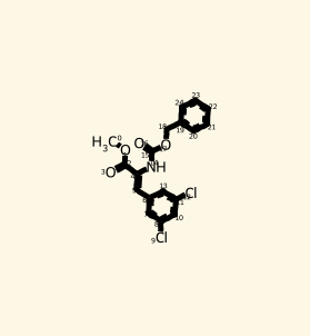 COC(=O)C(=Cc1cc(Cl)cc(Cl)c1)NC(=O)OCc1ccccc1